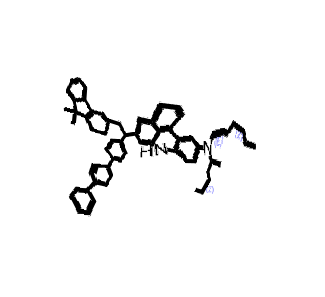 C=C/C=C\C=C\N(c1ccc2c(c1)-c1cccc3cc(C(CC4=CC5=C(CC4)C(C)(C)c4ccccc45)c4ccc(-c5ccc(-c6ccccc6)cc5)cc4)cc(c13)N2)C(C)C/C=C\C